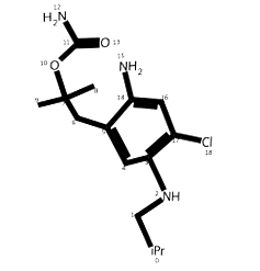 CC(C)CNc1cc(CC(C)(C)OC(N)=O)c(N)cc1Cl